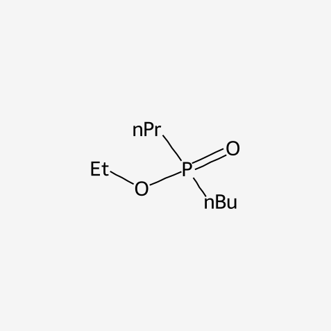 CCCCP(=O)(CCC)OCC